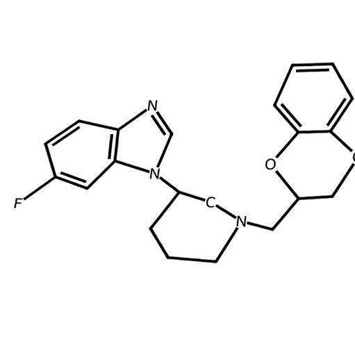 Fc1ccc2ncn(C3CCCN(CC4COc5ccccc5O4)C3)c2c1